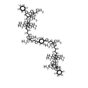 C=CC(=O)OC(C)(C)C(COc1ccccc1)COC(C)(C)C(C)(C)CCCCOC(C)(C)CCOc1ccc(OCCC(C)(C)OCCCCC(C)(C)C(C)(C)OCC(COc2ccccc2)C(C)(C)OC)cc1